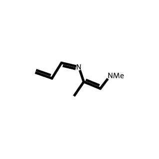 C=C/C=N\C(C)=C/NC